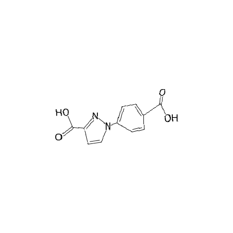 O=C(O)c1ccc(-n2ccc(C(=O)O)n2)cc1